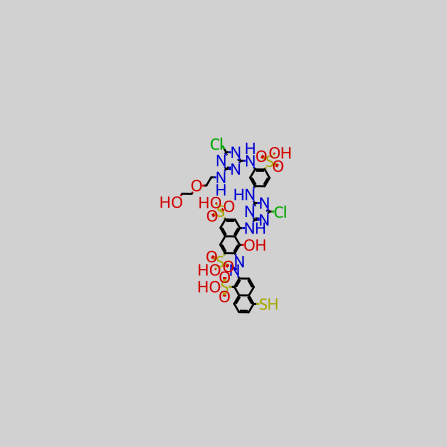 O=S(=O)(O)c1cc(Nc2nc(Cl)nc(Nc3ccc(S(=O)(=O)O)c(Nc4nc(Cl)nc(NCCOCCO)n4)c3)n2)c2c(O)c(N=Nc3ccc4c(S)cccc4c3S(=O)(=O)O)c(S(=O)(=O)O)cc2c1